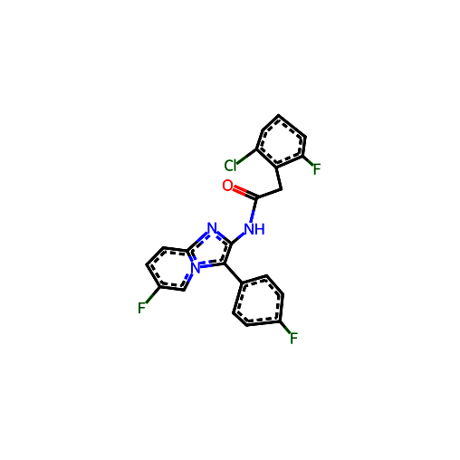 O=C(Cc1c(F)cccc1Cl)Nc1nc2ccc(F)cn2c1-c1ccc(F)cc1